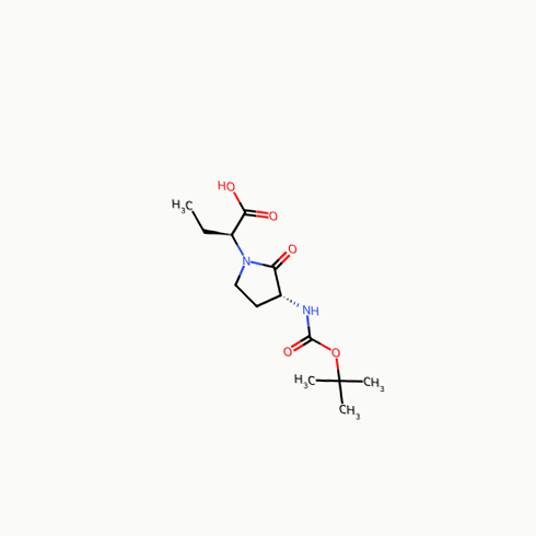 CC[C@@H](C(=O)O)N1CC[C@@H](NC(=O)OC(C)(C)C)C1=O